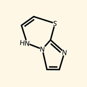 C1=CSc2nccn2N1